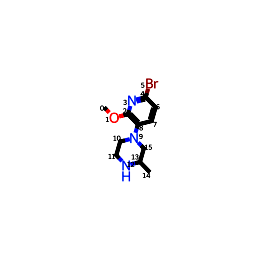 COc1nc(Br)ccc1N1CCNC(C)C1